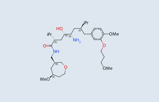 COCCCOc1cc(C[C@@H](C[C@H](N)[C@@H](O)C[C@H](C(=O)NC[C@H]2COCC[C@@H](OC)C2)C(C)C)C(C)C)ccc1OC